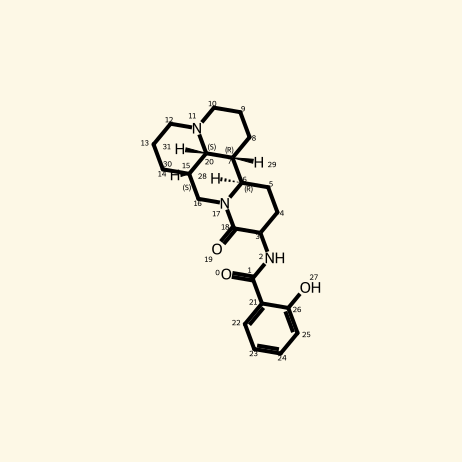 O=C(NC1CC[C@@H]2[C@H]3CCCN4CCC[C@@H](CN2C1=O)[C@@H]34)c1ccccc1O